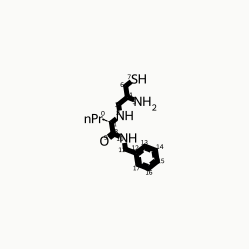 CCC[C@H](NCC(N)CS)C(=O)NCc1ccccc1